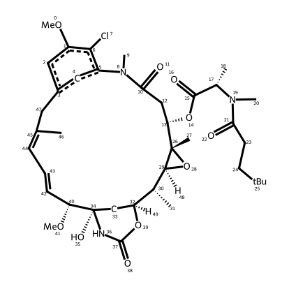 COc1cc2cc(c1Cl)N(C)C(=O)C[C@H](OC(=O)[C@H](C)N(C)C(=O)CCC(C)(C)C)[C@]1(C)O[C@H]1[C@H](C)[C@@H]1C[C@@](O)(NC(=O)O1)[C@H](OC)/C=C/C=C(\C)C2